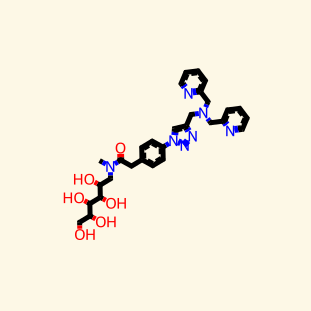 CN(CC(O)C(O)C(O)C(O)CO)C(=O)Cc1ccc(-n2cc(CN(Cc3ccccn3)Cc3ccccn3)nn2)cc1